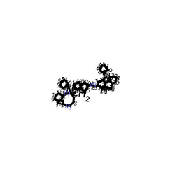 C=C1CC/C=C\C[C@H]2C=CCCC2/C=C\1N(c1ccc2cc(/C=C/C3=C[C@H]4C=CC5CC=CC6=C5C4C(=C3)N6[C@H]3C=CC=CC3)ccc2c1)[C@@H]1CC=CCC1